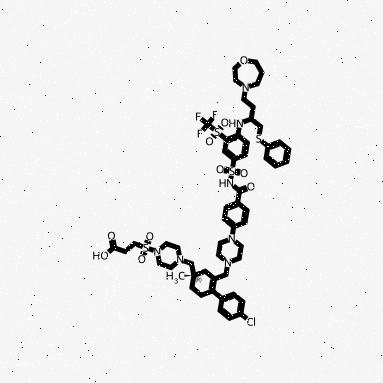 C[C@@]1(CN2CCN(S(=O)(=O)CCC(=O)O)CC2)CCC(c2ccc(Cl)cc2)=C(CN2CCN(c3ccc(C(=O)NS(=O)(=O)c4ccc(NC(CCN5CCCOCC5)CSc5ccccc5)c(S(=O)(=O)C(F)(F)F)c4)cc3)CC2)C1